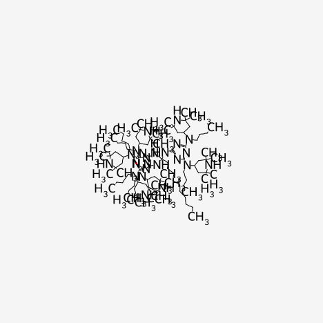 CCCCCCCCCCC(Nc1nc(N(CCCC)C2CC(C)(C)NC(C)(C)C2)nc(N(CCCC)C2CC(C)(C)NC(C)(C)C2)n1)(Nc1nc(N(CCCC)C2CC(C)(C)NC(C)(C)C2)nc(N(CCCC)C2CC(C)(C)NC(C)(C)C2)n1)Nc1nc(N(CCCC)C2CC(C)(C)NC(C)(C)C2)nc(N(CCCC)C2CC(C)(C)NC(C)(C)C2)n1